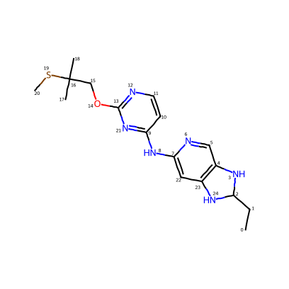 CCC1Nc2cnc(Nc3ccnc(OCC(C)(C)SC)n3)cc2N1